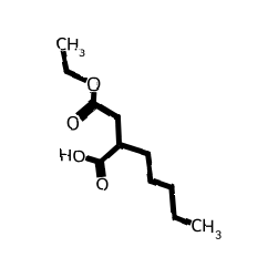 CCCCCC(CC(=O)OCC)C(=O)O